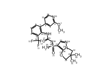 COc1cc(-c2cccc(C(F)(F)F)c2NC(=O)N=[S@@](N)(=O)c2cnn3c2OCC(C)(C)C3)ccn1